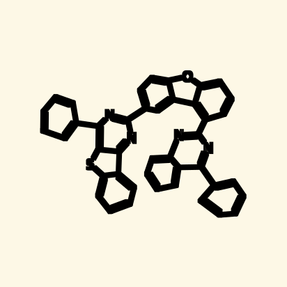 c1ccc(-c2nc(-c3cccc4oc5ccc(-c6nc(-c7ccccc7)c7sc8ccccc8c7n6)cc5c34)nc3ccccc23)cc1